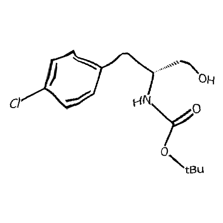 CC(C)(C)OC(=O)N[C@@H](CO)Cc1ccc(Cl)cc1